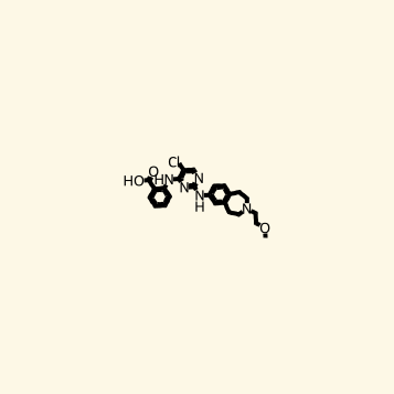 COCCN1CCc2ccc(Nc3ncc(Cl)c(Nc4ccccc4C(=O)O)n3)cc2CC1